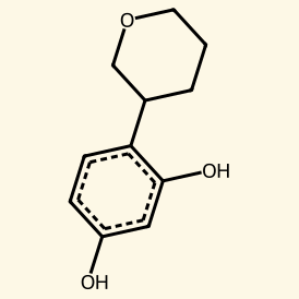 Oc1ccc(C2CCCOC2)c(O)c1